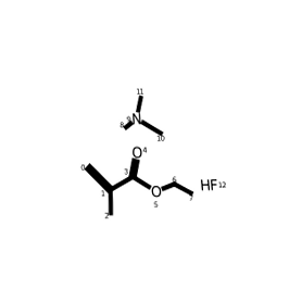 C=C(C)C(=O)OCC.CN(C)C.F